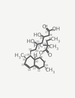 CCC(C)(C)C(=O)O[C@@H]1C[C@H](C)C=C2C=C[C@@H](C)[C@@H](CCC(O)CC(O)CC(=O)O)[C@@H]21